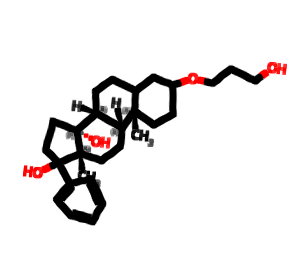 C[C@]12CCC(OCCCO)CC1CC[C@@H]1[C@H]2CC[C@]2(C)C(O)(c3ccccc3)CC[C@@]12O